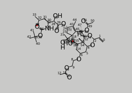 C=CC1OC2CC(OCCOC(C)=O)C[C@H]3[C@H](O)C4(C(C)(C)O)C[C@H](OC(=O)C(O)[C@H](CC(C)C)NC(=O)OC(C)(C)C)C(C)=C4[C@@](C)(OC(C)=O)[C@H](O1)[C@]23C